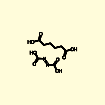 O=C(O)CCCCC(=O)O.O=C(O)N=NC(=O)O